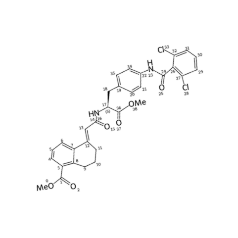 COC(=O)c1cccc2c1CCCC2=CC(=O)N[C@@H](Cc1ccc(NC(=O)c2c(Cl)cccc2Cl)cc1)C(=O)OC